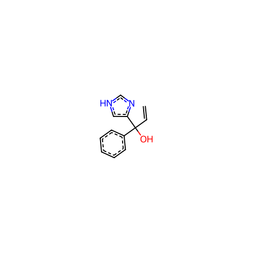 C=CC(O)(c1ccccc1)c1c[nH]cn1